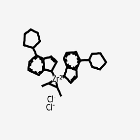 C[CH]1[CH](C)[Zr+2]1([CH]1C=Cc2c(C3CCCCC3)cccc21)[CH]1C=Cc2c(C3CCCCC3)cccc21.[Cl-].[Cl-]